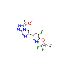 CO[C@H](C)c1nnc2cnc(-c3cnc(O[C@@H](C4CC4)C(F)(F)F)c(F)c3)cn12